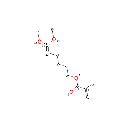 C=C(C)C(=O)OCCCCC[SiH](OC)OC